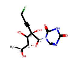 C[C@H](O)[C@H]1O[C@@H](n2cnc(=O)[nH]c2=O)[C@@](O)(C#CCF)C1O